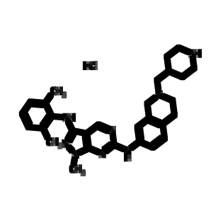 Cc1cccc(C)c1Nc1nn(C)c2nc(Nc3ccc4c(c3)CN(CC3CCNCC3)CC4)ncc12.Cl